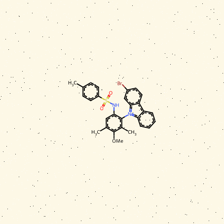 COc1c(C)cc(NS(=O)(=O)c2ccc(C)cc2)c(-n2c3ccccc3c3ccc(Br)cc32)c1C